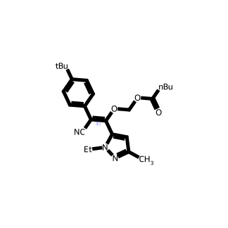 CCCCC(=O)OCO/C(=C(/C#N)c1ccc(C(C)(C)C)cc1)c1cc(C)nn1CC